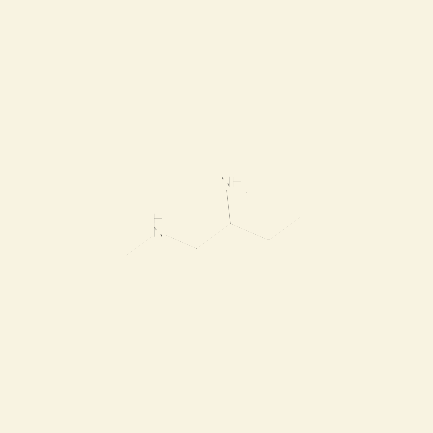 [CH2]CC(N)[CH]NC